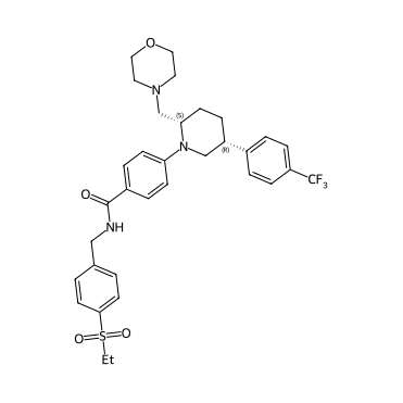 CCS(=O)(=O)c1ccc(CNC(=O)c2ccc(N3C[C@@H](c4ccc(C(F)(F)F)cc4)CC[C@H]3CN3CCOCC3)cc2)cc1